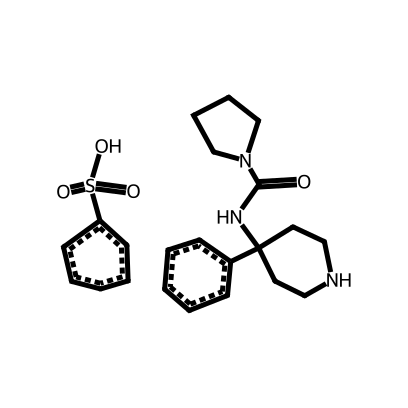 O=C(NC1(c2ccccc2)CCNCC1)N1CCCC1.O=S(=O)(O)c1ccccc1